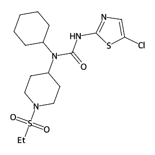 CCS(=O)(=O)N1CCC(N(C(=O)Nc2ncc(Cl)s2)C2CCCCC2)CC1